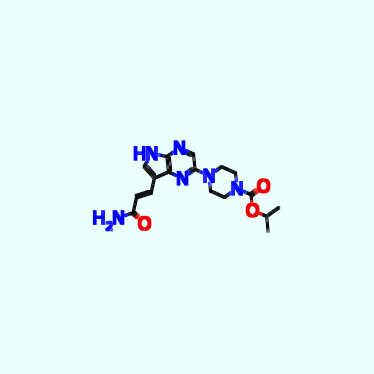 CC(C)OC(=O)N1CCN(c2cnc3[nH]cc(C=CC(N)=O)c3n2)CC1